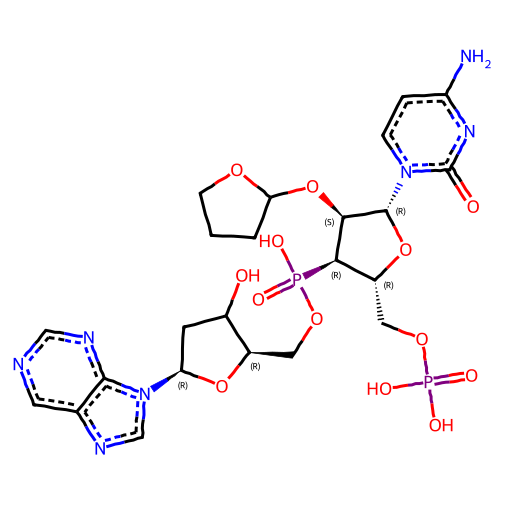 Nc1ccn([C@@H]2O[C@H](COP(=O)(O)O)[C@@H](P(=O)(O)OC[C@H]3O[C@@H](n4cnc5cncnc54)CC3O)[C@H]2OC2CCCO2)c(=O)n1